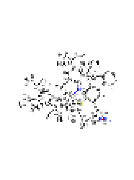 CCCc1c(-c2ccccc2C)cc2c(c1N(c1cc3c(cc1C)C(C)(C)CCC3(C)C)c1cc3c(cc1S)C(C)(C)c1cc4c(cc1-3)C(C)(C)CCC4(C)C)-c1ccccc1C(C)(C)c1cccc-2c1N